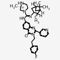 C[C@@H]1C(N=C(Nc2ccc3c(=O)n(CCc4ccc(F)cc4)c(-c4cccnc4)nc3c2)N2CCN[C@@H](C)C2)C[C@H]2C[C@@H]1C2(C)C